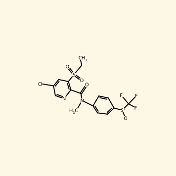 CCS(=O)(=O)c1cc(Cl)cnc1C(=O)N(C)c1ccc([S+]([O-])C(F)(F)F)cc1